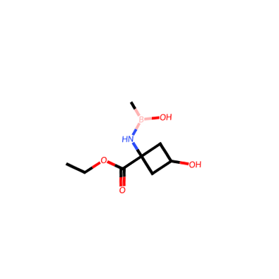 CCOC(=O)C1(NB(C)O)CC(O)C1